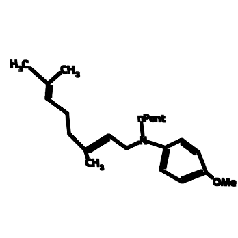 CCCCCN(C/C=C(\C)CCC=C(C)C)c1ccc(OC)cc1